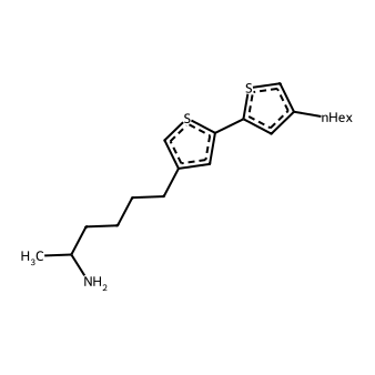 CCCCCCc1csc(-c2cc(CCCCC(C)N)cs2)c1